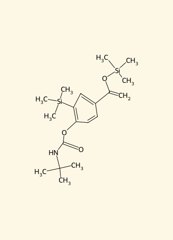 C=C(O[Si](C)(C)C)c1ccc(OC(=O)NC(C)(C)C)c([Si](C)(C)C)c1